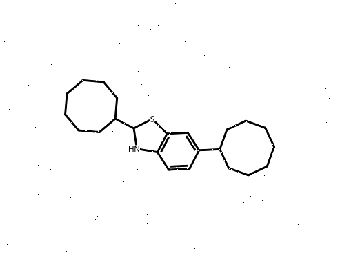 c1cc2c(cc1C1CCCCCCC1)SC(C1CCCCCCC1)N2